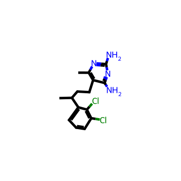 Cc1nc(N)nc(N)c1CCC(C)c1cccc(Cl)c1Cl